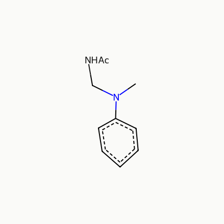 CC(=O)NCN(C)c1ccccc1